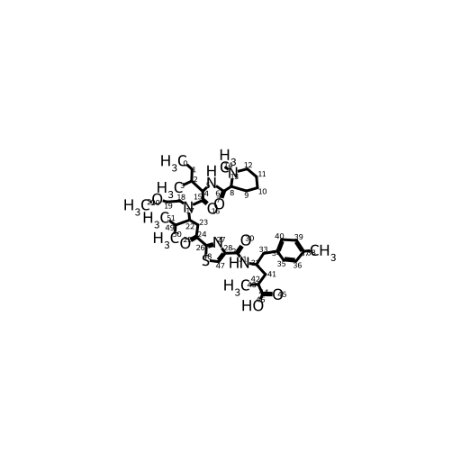 CCC(C)C(NC(=O)C1CCCCN1C)C(=O)N(CCOC)C(CC(=O)c1nc(C(=O)NC(Cc2ccc(C)cc2)CC(C)C(=O)O)cs1)C(C)C